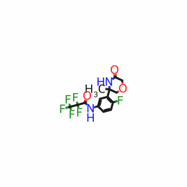 CC1(c2cc(NC(=O)C(F)(F)C(F)(F)F)ccc2F)COCC(=O)N1